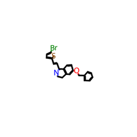 Brc1ccc(C=CC2=NCCc3cc(OCc4ccccc4)ccc32)s1